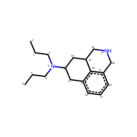 CCCN(CCC)C1Cc2cccc3c2C(CNC3)C1